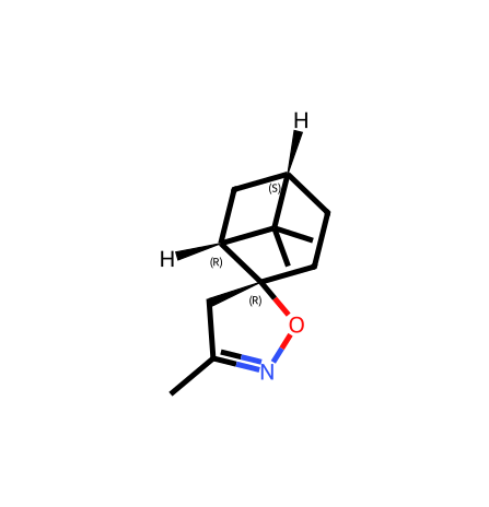 CC1=NO[C@]2(CC[C@H]3C[C@@H]2C3(C)C)C1